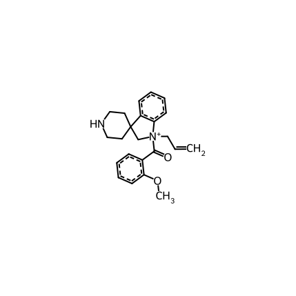 C=CC[N+]1(C(=O)c2ccccc2OC)CC2(CCNCC2)c2ccccc21